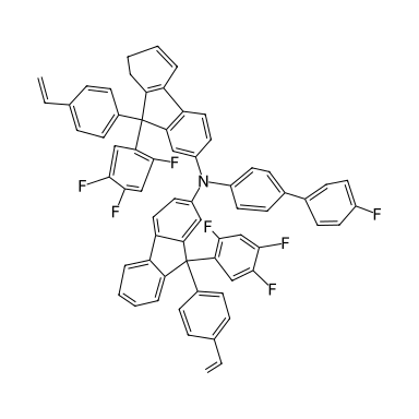 C=Cc1ccc(C2(c3cc(F)c(F)cc3F)C3=C(C=CCC3)c3ccc(N(c4ccc(-c5ccc(F)cc5)cc4)c4ccc5c(c4)C(c4ccc(C=C)cc4)(c4cc(F)c(F)cc4F)c4ccccc4-5)cc32)cc1